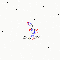 CC(C)CC(NC(=O)c1ccc(-c2ccccc2)s1)C(=O)N1CCC2C1C(=O)CN2C(=O)c1ccc[n+]([O-])c1